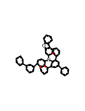 c1ccc(-c2cccc(-c3ccc(N(c4ccc5c(c4)oc4ccccc45)c4c(-c5ccccc5)cc(-c5ccccc5)cc4-c4ccccc4)cc3)c2)cc1